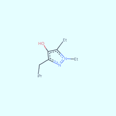 CCc1c(O)c(CC(C)C)nn1CC